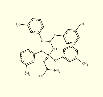 Cc1cccc(OP(NP(=NP(N)N)(Oc2cccc(C)c2)Oc2cccc(C)c2)Oc2cccc(C)c2)c1